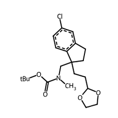 CN(CC1(CCC2OCCO2)CCc2cc(Cl)ccc21)C(=O)OC(C)(C)C